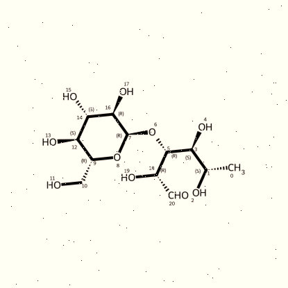 C[C@H](O)[C@H](O)[C@@H](O[C@H]1O[C@H](CO)[C@@H](O)[C@H](O)[C@H]1O)[C@@H](O)C=O